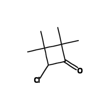 CC1(C)C(=O)C(Cl)C1(C)C